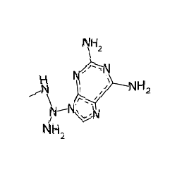 CNN(N)n1cnc2c(N)nc(N)nc21